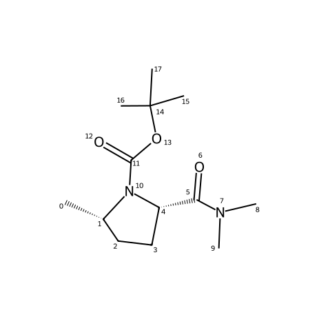 C[C@H]1CC[C@@H](C(=O)N(C)C)N1C(=O)OC(C)(C)C